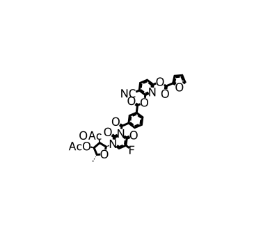 CC(=O)O[C@@H]1[C@H](OC(C)=O)[C@@H](C)O[C@H]1n1cc(F)c(=O)n(C(=O)c2cccc(C(=O)Oc3nc(OC(=O)c4ccco4)ccc3C#N)c2)c1=O